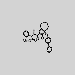 COC(=O)[C@H](NC(=O)c1cc2c(n(Cc3ccc(-c4ccccc4)cc3)c1=O)CCCCCC2)c1ccccc1